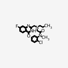 CCCN(CC(=O)N(C)c1ccccc1Cl)Cc1nc2cc(F)ccc2c(=O)[nH]1